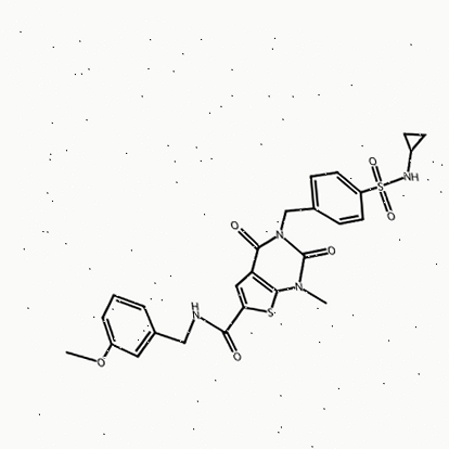 COc1cccc(CNC(=O)c2cc3c(=O)n(Cc4ccc(S(=O)(=O)NC5CC5)cc4)c(=O)n(C)c3s2)c1